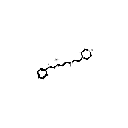 [NH][C@H](CCNCCN1CCOCC1)CSc1ccccc1